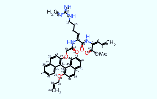 C=C/C=C(/NC(=O)/C(=C/CCCNC(=N)N=C)NC(=O)COc1ccc2ccccc2c1-c1c(OCC=C)ccc2ccccc12)C(=O)OC